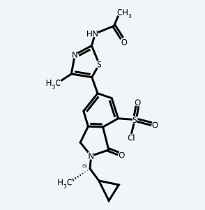 CC(=O)Nc1nc(C)c(-c2cc3c(c(S(=O)(=O)Cl)c2)C(=O)N([C@@H](C)C2CC2)C3)s1